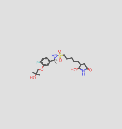 C[C@@H](NS(=O)(=O)CCCCCC1CC(=O)NC1O)c1ccc(F)c(OCC(C)(C)O)c1